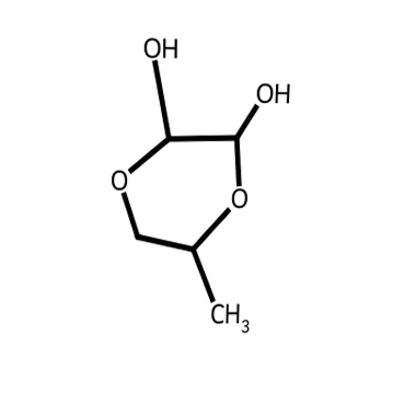 CC1COC(O)C(O)O1